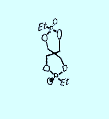 CCP1(=O)OCC2(CO1)COP(=O)(CC)OC2